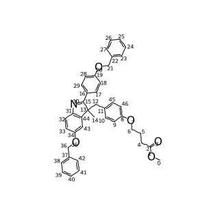 COC(=O)CCCOc1ccc(CC2(C)C(c3ccc(OCc4ccccc4)cc3)=Nc3ccc(OCc4ccccc4)cc32)cc1